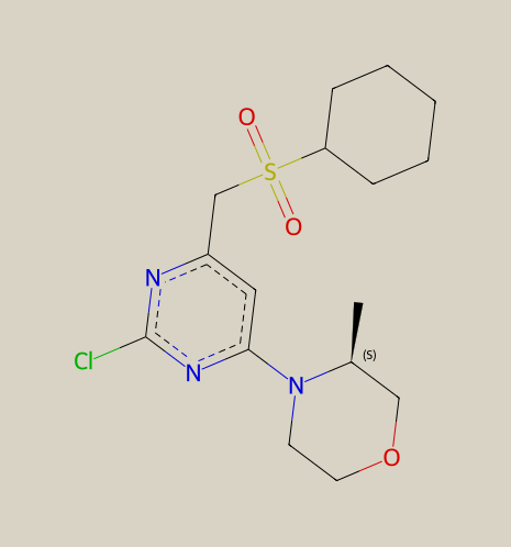 C[C@H]1COCCN1c1cc(CS(=O)(=O)C2CCCCC2)nc(Cl)n1